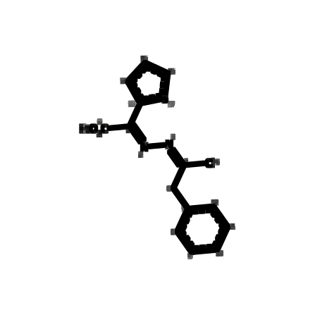 CCOC(=O)/C(=N/N=C(/Cl)Cc1ccccc1)c1cccs1